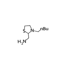 CCCCCN1CCSC1CN